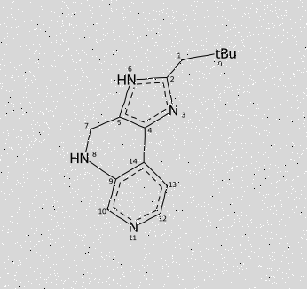 CC(C)(C)Cc1nc2c([nH]1)CNc1cnccc1-2